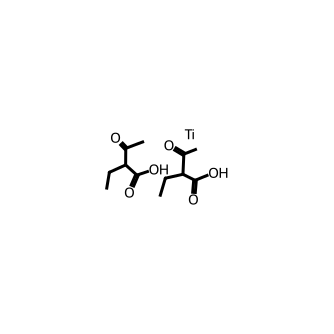 CCC(C(C)=O)C(=O)O.CCC(C(C)=O)C(=O)O.[Ti]